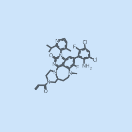 C=CC(=O)N1CCN2c3nc(=O)n(-c4c(C)ccnc4C(C)C)c4cc(-c5c(N)c(Cl)cc(Cl)c5F)c(F)c(c34)N(C)CCC2C1